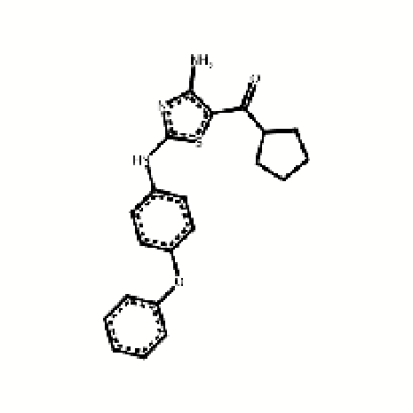 Nc1nc(Nc2ccc(Oc3ccccc3)cc2)sc1C(=O)C1CCCC1